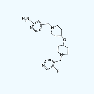 Nc1cc(CN2CCC(OC3CCN(Cc4ccncc4F)CC3)CC2)ccn1